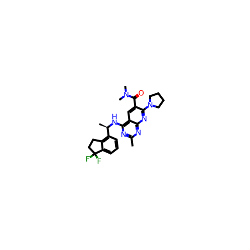 Cc1nc(N[C@H](C)c2cccc3c2CCC3(F)F)c2cc(C(=O)N(C)C)c(N3CCCC3)nc2n1